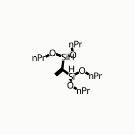 C=C([SiH](OCCC)OCCC)[SiH](OCCC)OCCC